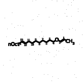 CC=COCCCCCCCCC=CCCCCCCCC